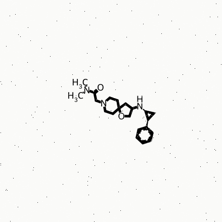 CN(C)C(=O)CN1CCC2(CC1)CC(N[C@@H]1C[C@H]1c1ccccc1)CO2